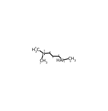 [CH3][AlH][CH2]CCN(C)C